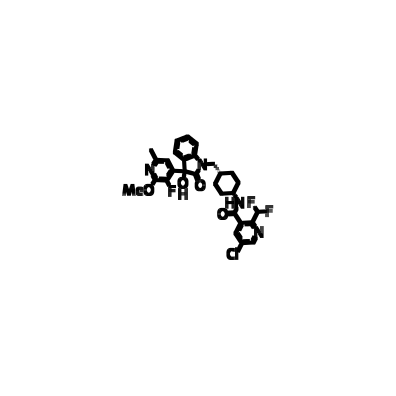 COc1nc(C)cc(C2(O)C(=O)N(C[C@H]3CC[C@H](NC(=O)c4cc(Cl)cnc4C(F)F)CC3)c3ccccc32)c1F